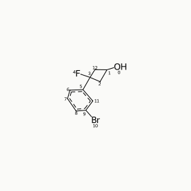 OC1CC(F)(c2cccc(Br)c2)C1